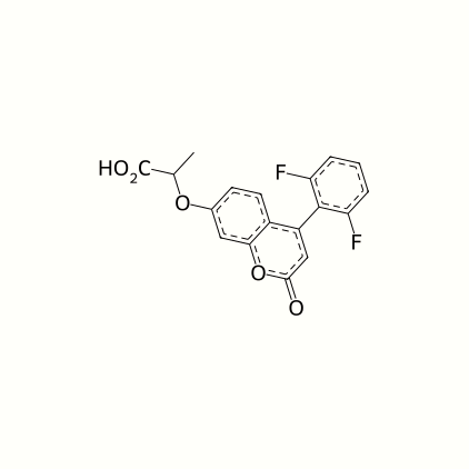 CC(Oc1ccc2c(-c3c(F)cccc3F)cc(=O)oc2c1)C(=O)O